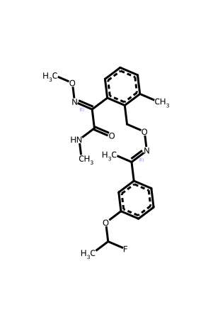 CNC(=O)/C(=N/OC)c1cccc(C)c1CO/N=C(\C)c1cccc(OC(C)F)c1